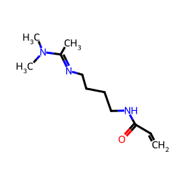 C=CC(=O)NCCCC/N=C(\C)N(C)C